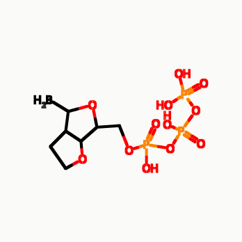 BC1OC(COP(=O)(O)OP(=O)(O)OP(=O)(O)O)C2OCCC12